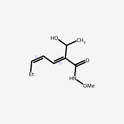 CC/C=C\C=C(\C(=O)NOC)C(C)O